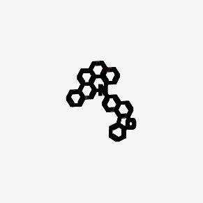 c1ccc(N(c2ccc3c(ccc4oc5ccccc5c43)c2)c2cc3ccccc3c3ccc4ccccc4c23)cc1